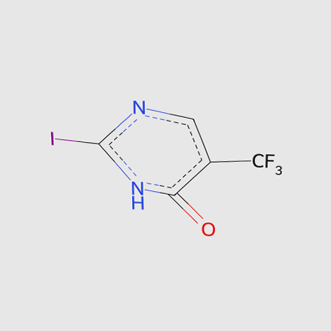 O=c1[nH]c(I)ncc1C(F)(F)F